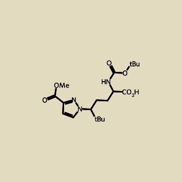 COC(=O)c1ccn(C(CCC(NC(=O)OC(C)(C)C)C(=O)O)C(C)(C)C)n1